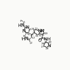 CCNc1ncc2c(n1)CN[C@H](C)C=C2c1ccn2ncc(C(=O)Nc3cccnc3)c2c1